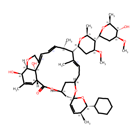 CO[C@H]1CC([C@H]2[C@H](C)O[C@@H](C3/C(C)=C/C[C@@H]4C[C@@H](C[C@]5(C=C[C@H](C)[C@@H](C6CCCCC6)O5)O4)OC(=O)[C@@H]4C=C(C)[C@@H](O)[C@H]5OC/C(=C\C=C\[C@@H]3C)[C@]54O)C[C@@H]2OC)O[C@@H](C)[C@@H]1O